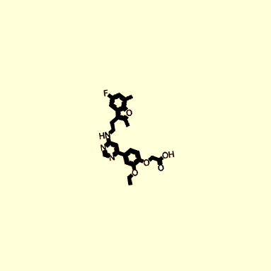 CCOc1cc(-c2cc(NCCc3c(C)oc4c(C)cc(F)cc34)ncn2)ccc1OCC(=O)O